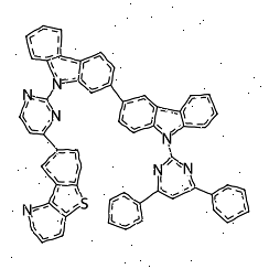 c1ccc(-c2cc(-c3ccccc3)nc(-n3c4ccccc4c4cc(-c5ccc6c7ccccc7n(-c7nccc(-c8ccc9sc%10cccnc%10c9c8)n7)c6c5)ccc43)n2)cc1